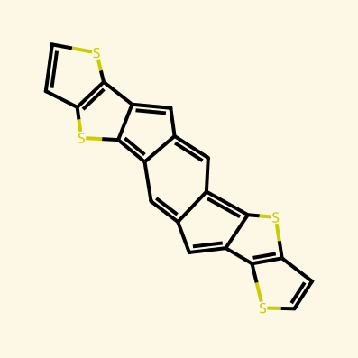 C1=c2c(sc3ccsc23)=c2cc3c(cc21)=c1sc2ccsc2c1=C3